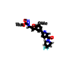 COc1cc(-c2ccc(C(=O)N3CCC(F)(F)CC3)cn2)cc2cc(CNC(=O)OC(C)(C)C)oc12